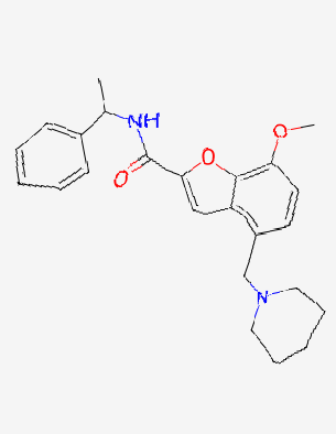 COc1ccc(CN2CCCCC2)c2cc(C(=O)NC(C)c3ccccc3)oc12